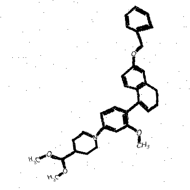 COc1cc(N2CCC(C(OC)OC)CC2)ccc1C1=CCCc2cc(OCc3ccccc3)ccc21